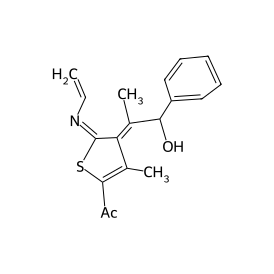 C=C/N=C1/SC(C(C)=O)=C(C)/C1=C(/C)C(O)c1ccccc1